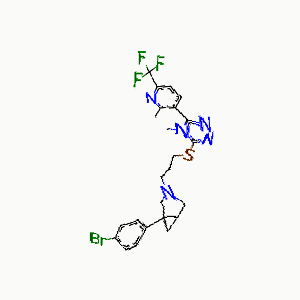 Cc1nc(C(F)(F)F)ccc1-c1nnc(SCCCN2CC3CC3(c3ccc(Br)cc3)C2)n1C